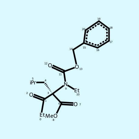 CCC(=O)[C@](CC(C)C)(C(=O)OC)N(CC)C(=O)OCc1ccccc1